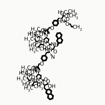 C=CCOC(=O)N[C@@H](Cc1ccc(OCc2cn([C@H]3C[C@@H](C(=O)N[C@@H](Cc4ccc5ccccc5c4)C(=O)N[C@H](C#N)Cc4ccc(OCc5cn([C@H]6C[C@@H](C(=O)NC(Cc7ccc8ccccc8c7)C(=O)O)N(C(=O)[C@@H](NC(=O)[C@H](C)N(C)C(=O)OC(C)(C)C)C(C)(C)C)C6)nn5)cc4)N(C(=O)[C@@H](NC(=O)[C@H](C)N(C)C(=O)OC(C)(C)C)C(C)(C)C)C3)nn2)cc1)C(=O)OC(C)(C)C